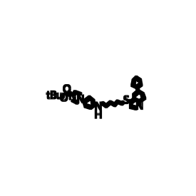 CC(C)(C)OC(=O)N1CCN(c2ccc(NCCCCCCSc3ccnc4ccc(-c5ccccc5)cc34)cc2)CC1